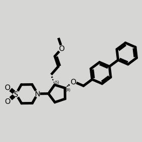 COC=CC[C@H]1C(N2CCS(=O)(=O)CC2)CC[C@H]1OCc1ccc(-c2ccccc2)cc1